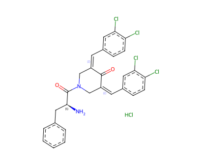 Cl.N[C@@H](Cc1ccccc1)C(=O)N1C/C(=C/c2ccc(Cl)c(Cl)c2)C(=O)/C(=C\c2ccc(Cl)c(Cl)c2)C1